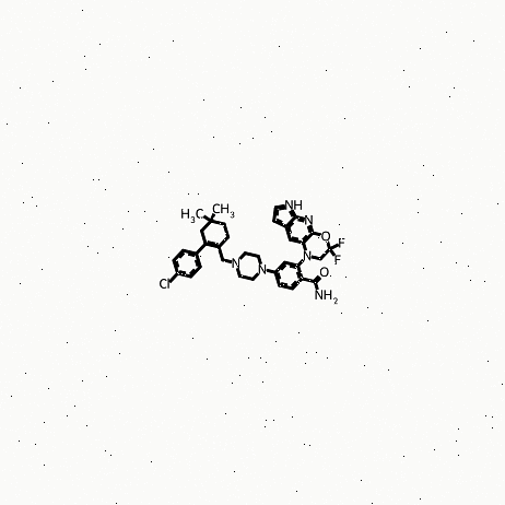 CC1(C)CCC(CN2CCN(c3ccc(C(N)=O)c(N4CC(F)(F)Oc5nc6[nH]ccc6cc54)c3)CC2)=C(c2ccc(Cl)cc2)C1